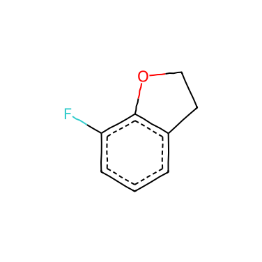 Fc1cccc2c1OCC2